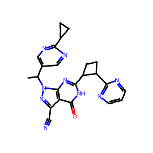 CC(c1cnc(C2CC2)nc1)n1nc(C#N)c2c(=O)[nH]c(C3CCC3c3ncccn3)nc21